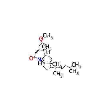 CO[C@H]1CC[C@@]2(C)C(=CC(=O)N3[C@@H]4[C@@H]2CC[C@]2(C)C(C(C)CCCC(C)C)CC[C@]432)C1